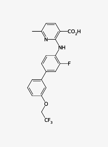 Cc1ccc(C(=O)O)c(Nc2ccc(-c3cccc(OCC(F)(F)F)c3)cc2F)n1